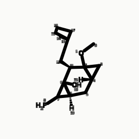 COC12C[C@@H]1C[C@H]1C(P)C1(O)[C@H]2CC1(C)CCC1